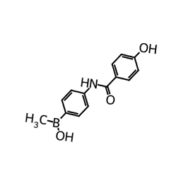 CB(O)c1ccc(NC(=O)c2ccc(O)cc2)cc1